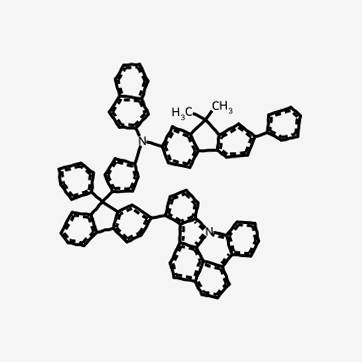 CC1(C)c2cc(-c3ccccc3)ccc2-c2ccc(N(c3ccc(C4(c5ccccc5)c5ccccc5-c5ccc(-c6cccc7c6c6ccc8cccc9c%10ccccc%10n7c6c89)cc54)cc3)c3ccc4ccccc4c3)cc21